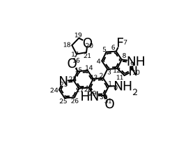 Nc1c(-c2ccc(F)c3[nH]ncc23)c2cc(O[C@@H]3CCOC3)c3ncccc3c2[nH]c1=O